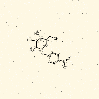 O=[N+]([O-])c1ccc(O[C@H]2OC(CO)[C@@H](O)[C@H](O)C2O)cc1